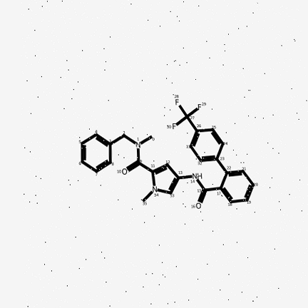 CN(Cc1ccccc1)C(=O)c1cc(NC(=O)c2ccccc2-c2ccc(C(F)(F)F)cc2)cn1C